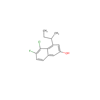 CCC(C)c1cc(O)cc2ccc(F)c(Cl)c12